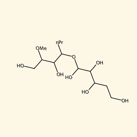 CCCC(OC(O)C(O)C(O)CCO)C(O)C(CO)OC